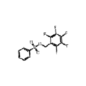 O=S(=O)(OCc1c(F)c(F)c(F)c(F)c1F)c1ccccc1